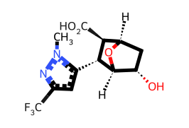 Cn1nc(C(F)(F)F)cc1[C@H]1[C@H]2O[C@H](C[C@@H]2O)[C@@H]1C(=O)O